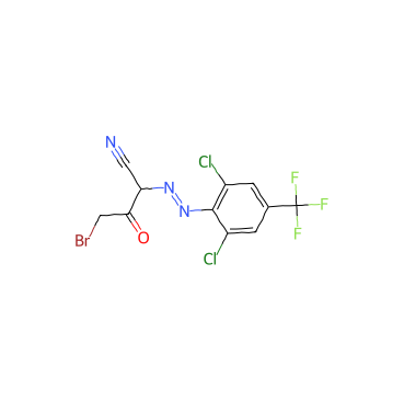 N#CC(N=Nc1c(Cl)cc(C(F)(F)F)cc1Cl)C(=O)CBr